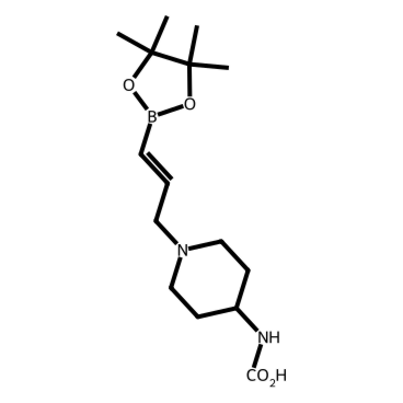 CC1(C)OB(/C=C/CN2CCC(NC(=O)O)CC2)OC1(C)C